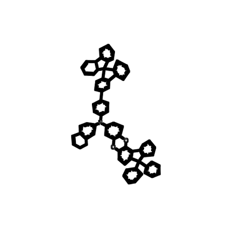 C1=CC2c3ccccc3C3(c4ccccc4-c4cc(-c5ccc(N(c6ccc7c(c6)CCC=C7)c6ccc7c(c6)Oc6ccc8c(c6O7)-c6ccccc6C8(c6ccccc6)c6ccccc6)cc5)ccc43)C2C=C1